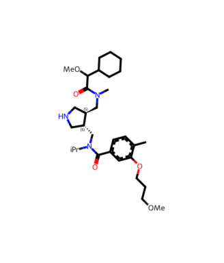 COCCCOc1cc(C(=O)N(C[C@@H]2CNC[C@H]2CN(C)C(=O)C(OC)C2CCCCC2)C(C)C)ccc1C